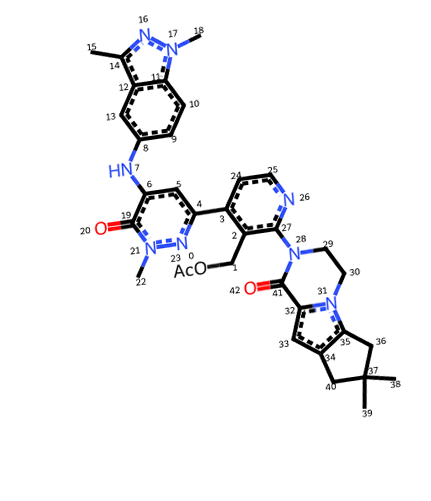 CC(=O)OCc1c(-c2cc(Nc3ccc4c(c3)c(C)nn4C)c(=O)n(C)n2)ccnc1N1CCn2c(cc3c2CC(C)(C)C3)C1=O